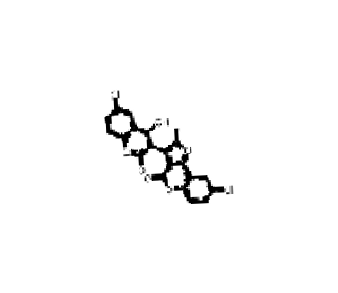 Cc1oc2c(c1-c1c(O)c3cc(Cl)ccc3oc1=O)c(=O)oc1ccc(Cl)cc12